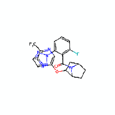 O=C(c1c(F)cccc1-n1nccn1)N1C2CCC1C(Oc1cnc(C(F)(F)F)cn1)C2